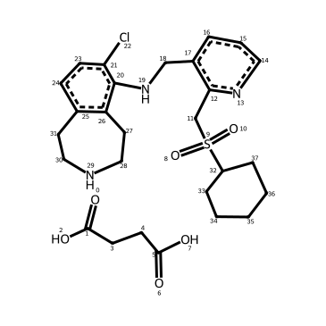 O=C(O)CCC(=O)O.O=S(=O)(Cc1ncccc1CNc1c(Cl)ccc2c1CCNCC2)C1CCCCC1